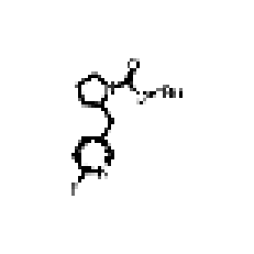 CC(C)(C)OC(=O)N1CCCC1Cc1ccc(F)nc1